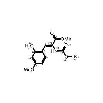 COC(=O)/C(=C/c1ccc(OC)cc1C)NC(=O)OC(C)(C)C